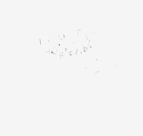 CC1C2CC(C(=O)OC3(C(F)(F)C(F)(F)F)COC(O)(C(F)(F)F)C3(F)F)C(C2)C1C